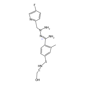 Cc1cc(SNCCO)ccc1/C(N)=N/N(N)Cc1ccc(F)cn1